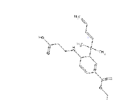 C=C/C=C/C(C)(C)C1C=C(C(=O)OCC)C=CC1NCCC(=O)O